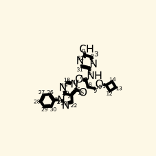 Cc1cnc(NC(=O)C(COC2CCC2)Oc2ncnc3c2cnn3-c2ccccc2)cn1